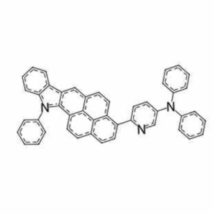 c1ccc(N(c2ccccc2)c2ccc(-c3ccc4ccc5c6c(ccc3c46)cc3c4ccccc4n(-c4ccccc4)c35)nc2)cc1